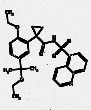 CCOc1ccc(C(C)(C)OCC)cc1C1(C(=O)NS(=O)(=O)c2cccc3ncccc23)CC1